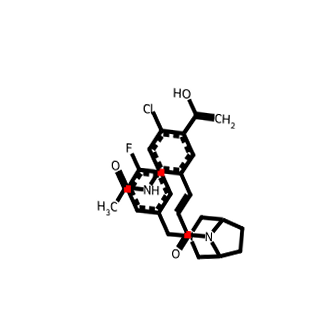 C=C(O)c1cc(/C=C/C(=O)N2C3CCC2CN(Cc2ccc(F)cc2)C3)c(NC(C)=O)cc1Cl